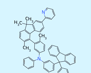 Cc1ccc(N(c2ccccc2)c2cccc(C3(c4ccccc4)c4ccccc4-c4ccccc43)c2)cc1-c1c(C)ccc2c1-c1ccc(-c3ccccn3)cc1C2(C)C